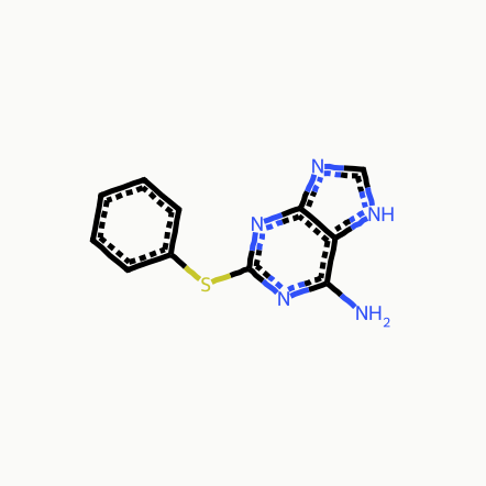 Nc1nc(Sc2ccccc2)nc2nc[nH]c12